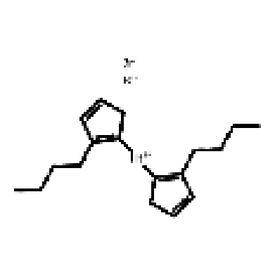 CCCCC1=[C]([Hf+2][C]2=C(CCCC)C=CC2)CC=C1.[Br-].[Br-]